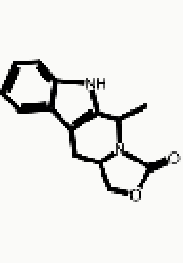 CC1c2[nH]c3ccccc3c2CC2COC(=O)N21